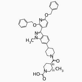 C[C@@H]1CN(C(=O)O)CC[C@H]1C(=O)N1CCC(c2ccc3c(-c4ccc(OCc5ccccc5)nc4OCc4ccccc4)nn(C)c3c2)CC1